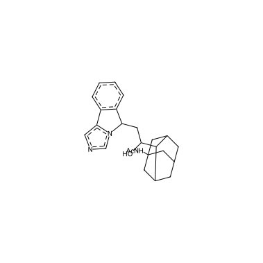 CC(=O)NC12CC3CC(C1)C(C(O)CC1c4ccccc4-c4cncn41)C(C3)C2